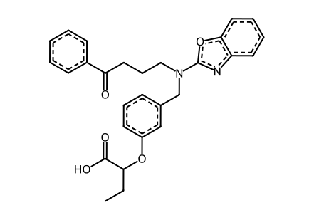 CCC(Oc1cccc(CN(CCCC(=O)c2ccccc2)c2nc3ccccc3o2)c1)C(=O)O